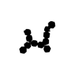 c1ccc(-c2ccc(N(c3ccc(-c4ccccc4)cc3)c3ccc(-c4ccc5c(c4)c4cc(-c6ccc(-c7ccc(-c8ccccc8)s7)cc6)ccc4n5-c4ccccc4)cc3)cc2)cc1